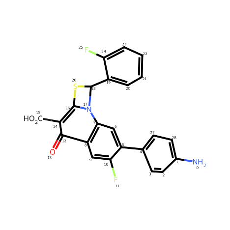 Nc1ccc(-c2cc3c(cc2F)c(=O)c(C(=O)O)c2n3C(c3ccccc3F)S2)cc1